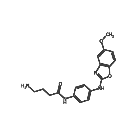 COc1ccc2oc(Nc3ccc(NC(=O)CCCN)cc3)nc2c1